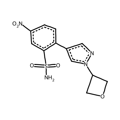 NS(=O)(=O)c1cc([N+](=O)[O-])ccc1-c1cnn(C2COC2)c1